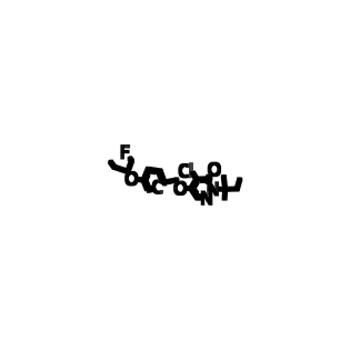 CCC(CF)Oc1ccc(COc2cnn(C(C)(C)CC)c(=O)c2Cl)cc1